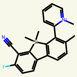 Cc1ccc2c(c1-c1cccc[n+]1C)[Si](C)(C)c1c-2ccc(F)c1C#N